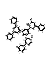 CC1C=C(c2ccccc2)CC(c2cc(-c3cc(-c4ccccc4)nc(-c4ccccc4)c3)cc([C@H]3C=C(c4ccccc4)C=CN3C)c2)N1